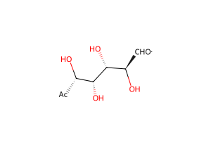 CC(=O)[C@H](O)[C@@H](O)[C@H](O)[C@H](O)[C]=O